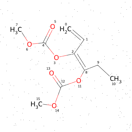 C=C/C(OC(=O)OC)=C(\CC)OC(=O)OC